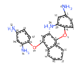 Nc1ccc(Oc2ccc(Oc3ccc(N)cc3N)c3ccccc23)c(N)c1